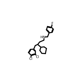 Fc1ccc(CNCCC(Cc2ccc(Cl)c(Cl)c2)C2CCCCC2)cc1